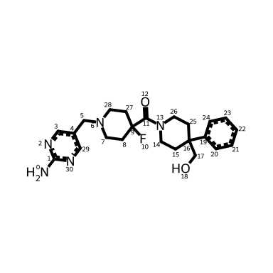 Nc1ncc(CN2CCC(F)(C(=O)N3CCC(CO)(c4ccccc4)CC3)CC2)cn1